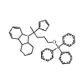 CC(CCCO[Si](c1ccccc1)(c1ccccc1)c1ccccc1)(C1=CC=CC1)C1C2C=CC=CC2C2CCCCC21